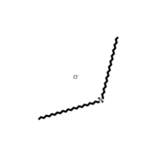 CCCCCCCCCCCCCCCCCCCCCCC[N+](C)(C)CCCCCCCCCCCCCCCCCCCCCCC.[Cl-]